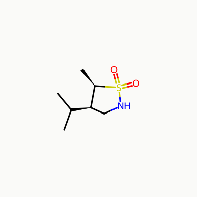 CC(C)[C@@H]1CNS(=O)(=O)[C@@H]1C